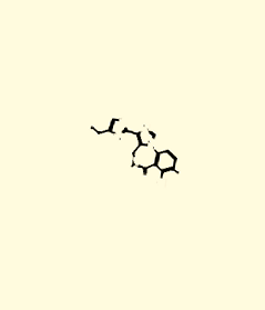 CN1Cc2c(-c3nc(CCl)cs3)ncn2-c2ccc(F)c(Cl)c2C1=O